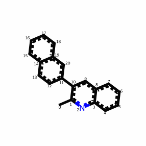 Cc1nc2ccccc2cc1-c1ccc2ccccc2c1